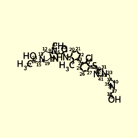 Cc1c(NC(=O)c2nc3c(n2C)CCN(CC(C)O)C3)cccc1-c1cccc(Sc2cn(CC3CN(CCO)C3)cn2)c1Cl